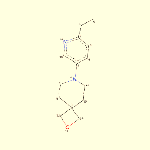 CCc1ccc(N2CCC3(CC2)COC3)cn1